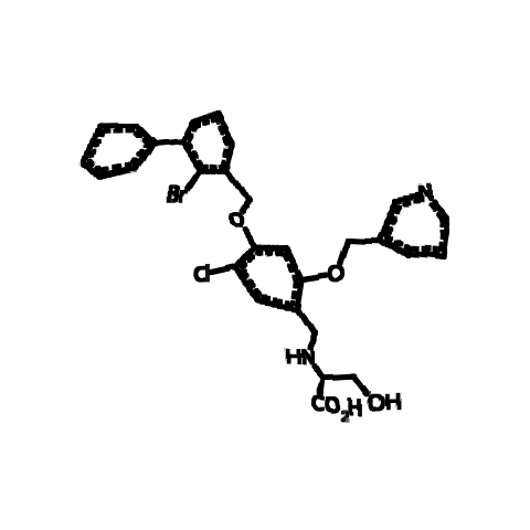 O=C(O)[C@H](CO)NCc1cc(Cl)c(OCc2cccc(-c3ccccc3)c2Br)cc1OCc1cccnc1